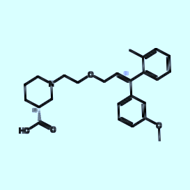 COc1cccc(/C(=C\COCCN2CCC[C@@H](C(=O)O)C2)c2ccccc2C)c1